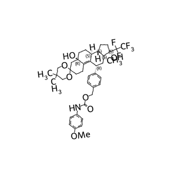 COc1ccc(NC(=O)OCc2ccc([C@H]3C[C@@]4(C)[C@@H](CC[C@@]4(O)C(F)(F)C(F)(F)F)[C@@H]4CC[C@@]5(O)CC6(CCC5=C43)OCC(C)(C)CO6)cc2)cc1